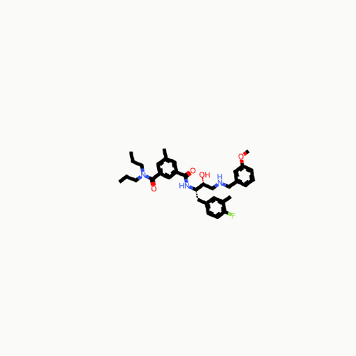 CCCN(CCC)C(=O)c1cc(C)cc(C(=O)N[C@@H](Cc2ccc(F)c(C)c2)[C@H](O)CNCc2cccc(OC)c2)c1